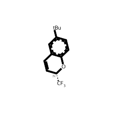 CC(C)(C)c1ccc2c(c1)C=C[C@@H](C(F)(F)F)O2